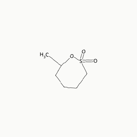 CC1CCCCS(=O)(=O)O1